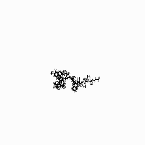 CCCCCC(=O)NCC(=O)NCC(=O)N[C@@H](Cc1ccccc1)C(=O)NCC(=O)NCO[C@H](C)C(=O)N[C@H]1CCc2c(C)c(F)cc3nc4c(c1c23)CC1CCC(=O)C2=C(/C=C/41)[C@@](O)(CC)C(=O)OC2